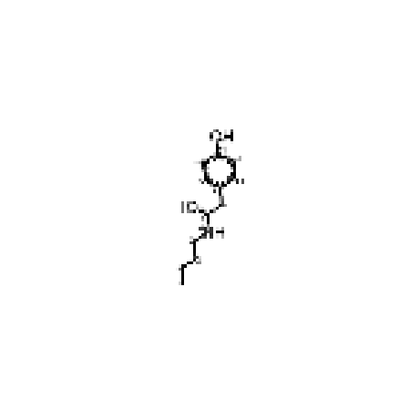 CCCCNC(O)Cc1ccc(O)cc1